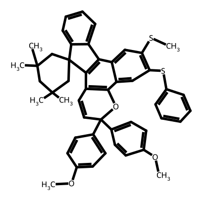 COc1ccc(C2(c3ccc(OC)cc3)C=Cc3c4c(c5cc(SC)c(Sc6ccccc6)cc5c3O2)-c2ccccc2C42CC(C)(C)CC(C)(C)C2)cc1